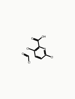 O=C(O)c1nc(Cl)ccc1Cl.O=CCl